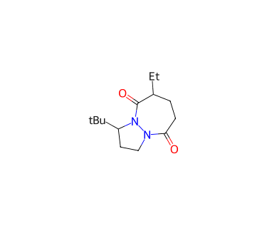 CCC1CCC(=O)N2CCC(C(C)(C)C)N2C1=O